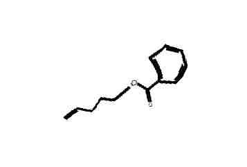 C=CCCCOC(=O)c1ccccc1